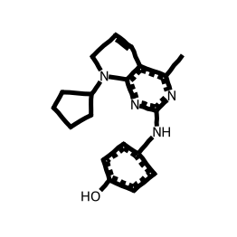 Cc1nc(Nc2ccc(O)cc2)nc2c1C=CCN2C1CCCC1